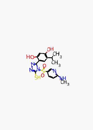 CNc1ccc(S(=O)(=O)n2c(S)nnc2-c2cc(C(C)C)c(O)cc2O)cn1